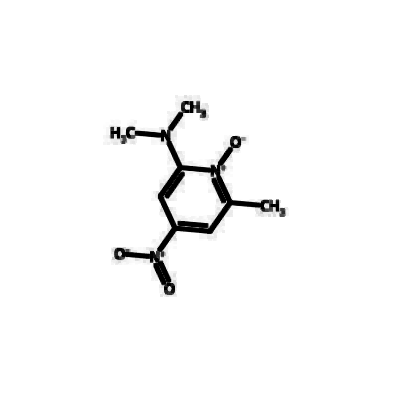 Cc1cc([N+](=O)[O-])cc(N(C)C)[n+]1[O-]